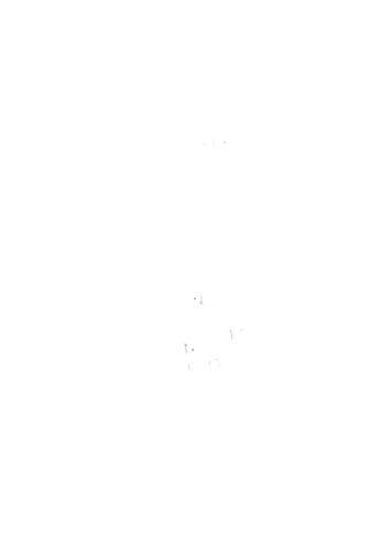 CCCCCCCCCCCCCCCCn1cc[n+](CCCCCCC)c1CC